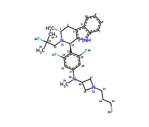 C[C@@H]1Cc2c([nH]c3ccccc23)[C@@H](c2c(F)cc(N(C)C3CN(CCCF)C3)cc2F)N1CC(C)(C)F